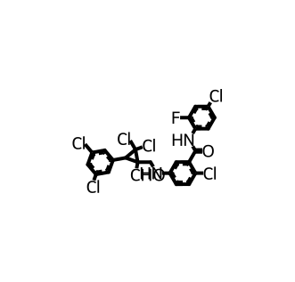 O=CC1(CNc2ccc(Cl)c(C(=O)Nc3ccc(Cl)cc3F)c2)C(c2cc(Cl)cc(Cl)c2)C1(Cl)Cl